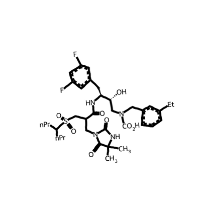 CCCC(CCC)S(=O)(=O)CC(CN1C(=O)NC(C)(C)C1=O)C(=O)N[C@@H](Cc1cc(F)cc(F)c1)[C@H](O)CN(Cc1cccc(CC)c1)C(=O)O